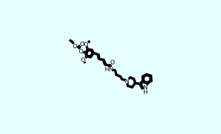 CCOC(=O)Oc1c(OC)cc(/C=C/C=C/C(=O)NCCCCN2CCC(c3c[nH]c4ccccc34)CC2)cc1OC